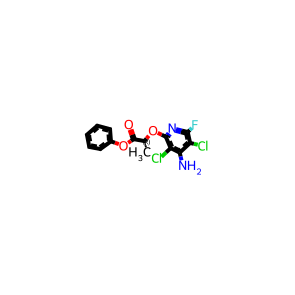 C[C@@H](Oc1nc(F)c(Cl)c(N)c1Cl)C(=O)Oc1ccccc1